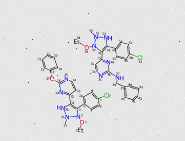 CCON1C(c2ccc(Cl)cc2)=C(c2ccnc(Oc3ccccc3)n2)NN1C.CCON1C(c2ccnc(NCc3ccccc3)n2)=C(c2ccc(Cl)cc2)NN1C